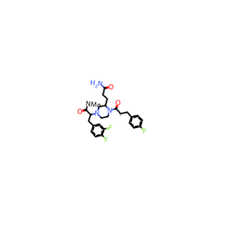 CNC(=O)C(Cc1ccc(F)c(F)c1)N1CCN(C(=O)[CH]Cc2ccc(F)cc2)C(CCC(N)=O)C1